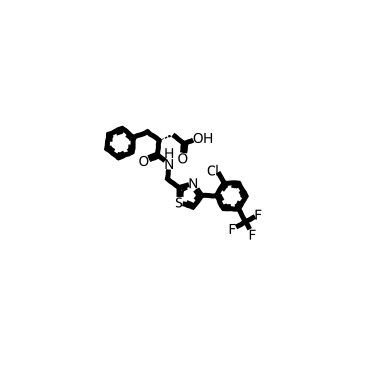 O=C(O)C[C@@H](Cc1ccccc1)C(=O)NCc1nc(-c2cc(C(F)(F)F)ccc2Cl)cs1